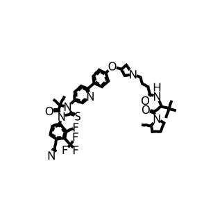 CC1CCCN1C(=O)C(NC(=O)CCCN1CC(Oc2ccc(-c3ccc(N4C(=S)N(c5ccc(C#N)c(C(F)(F)F)c5F)C(=O)C4(C)C)cn3)cc2)C1)C(C)(C)C